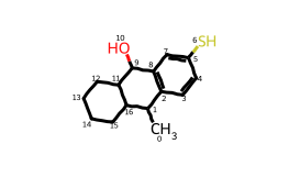 CC1c2ccc(S)cc2C(O)C2CCCCC12